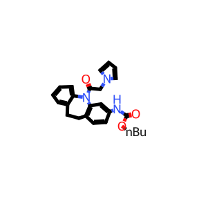 CCCCOC(=O)Nc1ccc2c(c1)N(C(=O)Cn1cccc1)c1ccccc1CC2